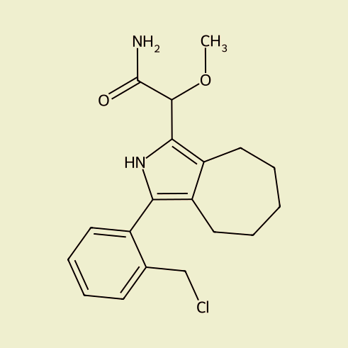 COC(C(N)=O)c1[nH]c(-c2ccccc2CCl)c2c1CCCCC2